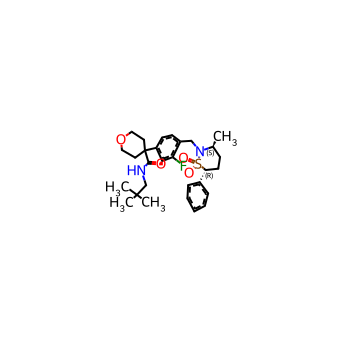 C[C@H]1CC[C@H](c2ccccc2)S(=O)(=O)N1Cc1ccc(C2(C(=O)NCC(C)(C)C)CCOCC2)cc1F